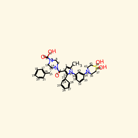 Cc1cc(C(=O)N2CCN(C(=O)O)C[C@H]2Cc2ccccc2)c(-c2ccccc2)n1-c1cccc(N2CCS(O)(O)CC2)c1